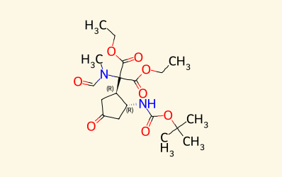 CCOC(=O)C(C(=O)OCC)([C@@H]1CC(=O)C[C@H]1NC(=O)OC(C)(C)C)N(C)C=O